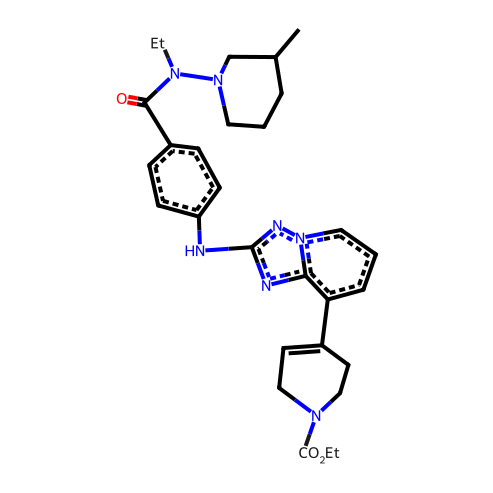 CCOC(=O)N1CC=C(c2cccn3nc(Nc4ccc(C(=O)N(CC)N5CCCC(C)C5)cc4)nc23)CC1